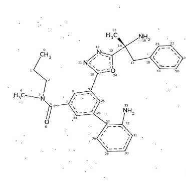 CCCN(C)C(=O)c1cc(-c2nnc([C@](C)(N)Cc3ccccc3)o2)cc(-c2ccccc2N)c1